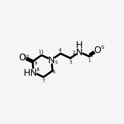 O=[C]NCCN1CCNC(=O)C1